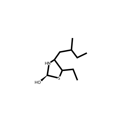 CCC(C)CC1N[C@H](O)SC1CC